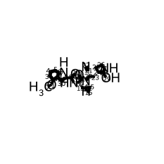 COc1cccc2[nH]c(C(=O)N[C@@H](CC3CC3)C(=O)N[C@H](C#N)C[C@@H]3CCNC3O)cc12